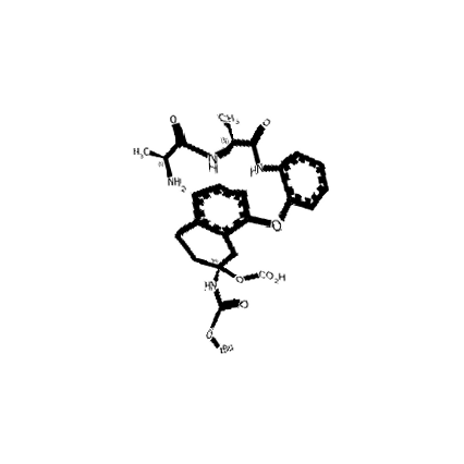 C[C@H](N)C(=O)N[C@@H](C)C(=O)Nc1ccccc1Oc1cccc2c1C[C@](NC(=O)OC(C)(C)C)(OC(=O)O)CC2